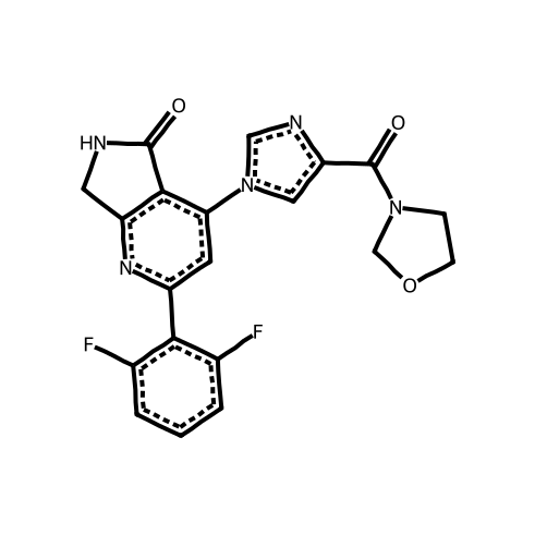 O=C1NCc2nc(-c3c(F)cccc3F)cc(-n3cnc(C(=O)N4CCOC4)c3)c21